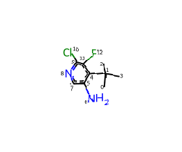 CC(C)(C)c1c(N)[c]nc(Cl)c1F